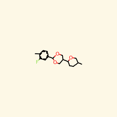 Cc1ccc(C2OCC(C3CCC(C)CO3)CO2)cc1F